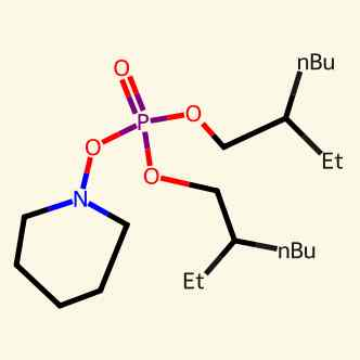 CCCCC(CC)COP(=O)(OCC(CC)CCCC)ON1CCCCC1